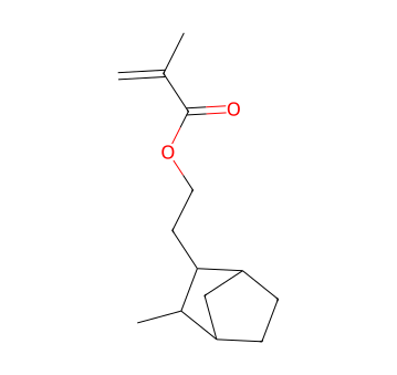 C=C(C)C(=O)OCCC1C2CCC(C2)C1C